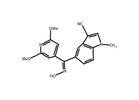 COc1cc(C(=NO)c2ccc3c(c2)c(C#N)cn3C)cc(SC)n1